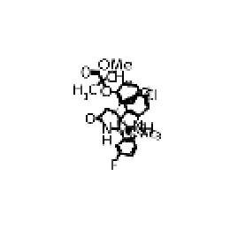 COC(=O)C(C)(C)Oc1ccc(Cl)cc1[C@H]1CC(=O)N[C@@H](c2cc(F)ccc2C)[C@]12C(=O)N(C(C)=O)c1cc(Cl)ccc12